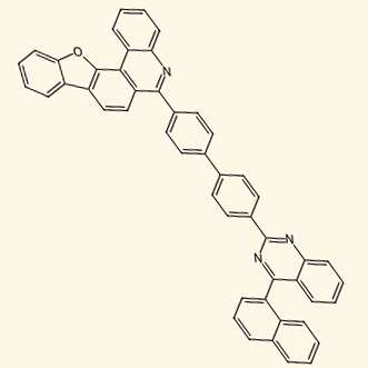 c1ccc2c(-c3nc(-c4ccc(-c5ccc(-c6nc7ccccc7c7c6ccc6c8ccccc8oc67)cc5)cc4)nc4ccccc34)cccc2c1